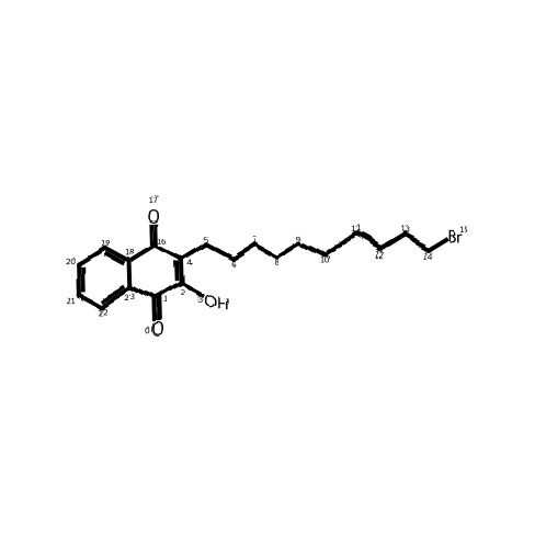 O=C1C(O)=C(CCCCCCCCCCBr)C(=O)c2ccccc21